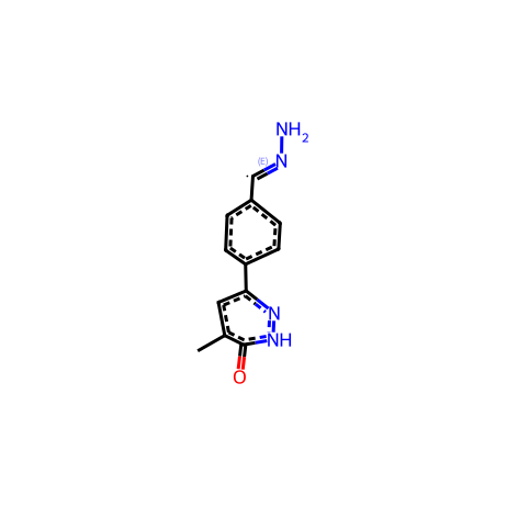 Cc1cc(-c2ccc(/[C]=N/N)cc2)n[nH]c1=O